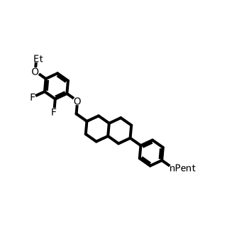 CCCCCc1ccc(C2CCC3CC(COc4ccc(OCC)c(F)c4F)CCC3C2)cc1